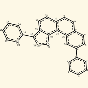 c1ccc(-c2ccc3ccc4ccc5c(-c6ccccn6)noc5c4c3c2)cc1